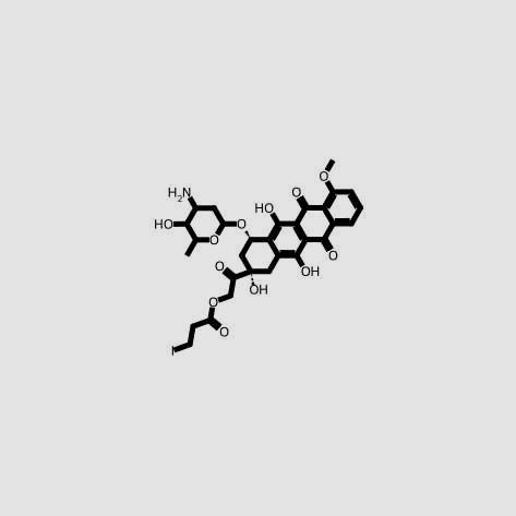 COc1cccc2c1C(=O)c1c(O)c3c(c(O)c1C2=O)C[C@@](O)(C(=O)COC(=O)CCI)C[C@@H]3OC1CC(N)C(O)C(C)O1